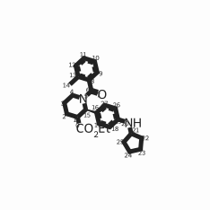 CCOC(=O)C1CCCN(C(=O)c2ccccc2C)[C@H]1c1ccc(NC2CCCC2)cc1